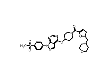 CS(=O)(=O)c1ccc(-n2ncc3c(OC4CCN(C(=O)C5=CCC(CN6CCOCC6)O5)CC4)ncnc32)cc1